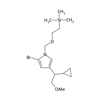 COCC(c1cc(Br)n(COCC[Si](C)(C)C)c1)C1CC1